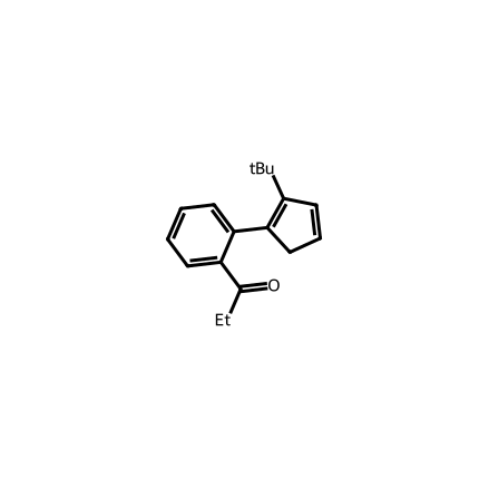 CCC(=O)c1ccccc1C1=C(C(C)(C)C)C=CC1